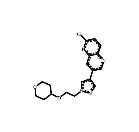 Clc1ccc2ncc(-c3cnn(CCOC4CCOCC4)c3)cc2n1